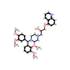 COc1ccc(C(c2cccc(OC)c2OC)N2CCN(CC(O)COc3cccc4ncccc34)CC2)cc1OC